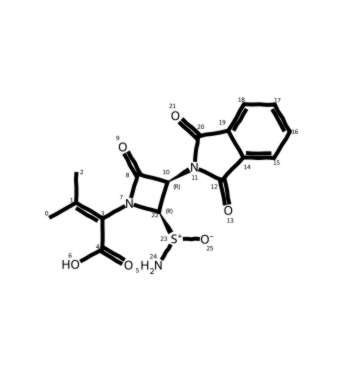 CC(C)=C(C(=O)O)N1C(=O)[C@@H](N2C(=O)c3ccccc3C2=O)[C@H]1[S+](N)[O-]